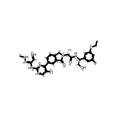 CCOc1cc(F)cc([C@@H](CO)NC(=O)[C@@H](C)N2Cc3ccc(-c4nc(N/C(C=N)=N/NC)ncc4Cl)cc3C2=O)c1